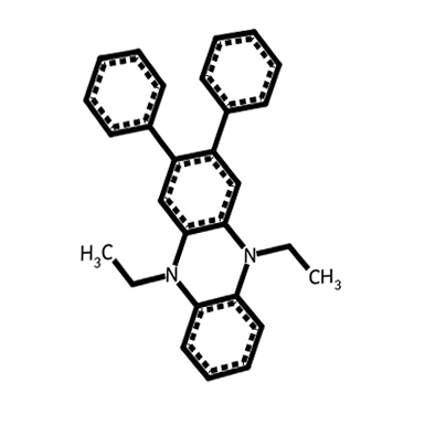 CCN1c2ccccc2N(CC)c2cc(-c3ccccc3)c(-c3ccccc3)cc21